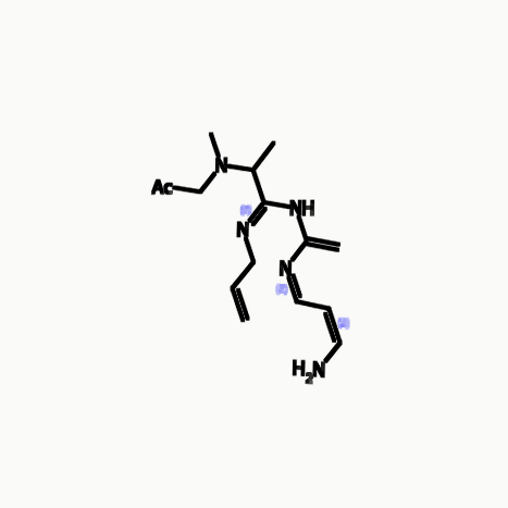 C=CC/N=C(\NC(=C)/N=C\C=C/N)C(C)N(C)CC(C)=O